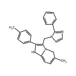 CC1=CC=C2NC(c3ccc(C)cc3)=C(Cn3ccnc3-c3ccccc3)N2C1